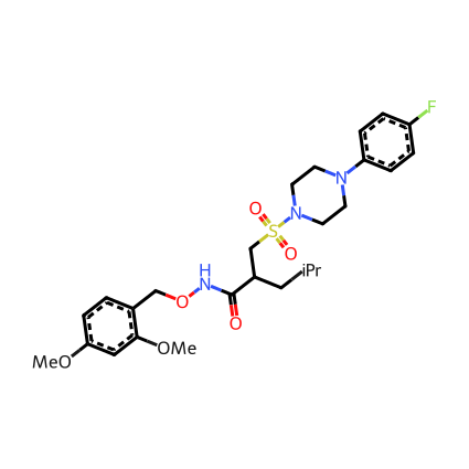 COc1ccc(CONC(=O)C(CC(C)C)CS(=O)(=O)N2CCN(c3ccc(F)cc3)CC2)c(OC)c1